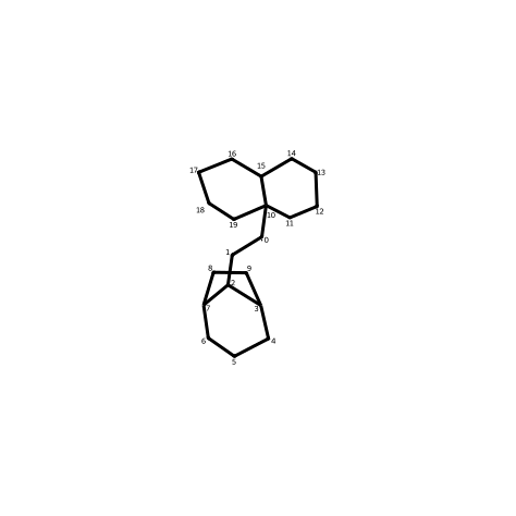 [CH](CC1C2CCCC1CC2)C12CCCCC1CCCC2